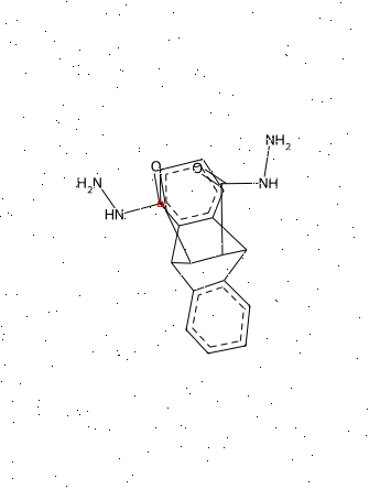 NNC(=O)C1C2c3ccccc3C(c3ccccc32)C1C(=O)NN